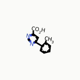 Cc1ccccc1-c1cc(C(=O)O)ncn1